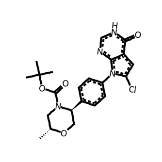 C[C@@H]1CN(C(=O)OC(C)(C)C)[C@@H](c2ccc(-n3c(Cl)cc4c(=O)[nH]cnc43)cc2)CO1